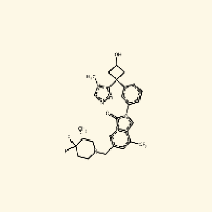 C[C@@H]1CN(Cc2cc(C(F)(F)F)c3cn(-c4cccc([C@]5(c6nncn6C)C[C@H](O)C5)c4)c(=O)n3c2)CCC1(F)F